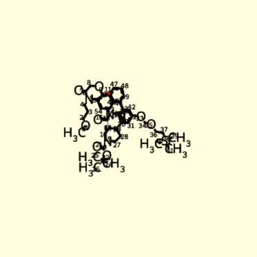 COCCCN1C(=O)COc2ccc(N(C(=O)[C@H]3CN(C(=O)OC(C)(C)C)CC[C@@H]3c3cc(OCOCC[Si](C)(C)C)cc(-c4ccccc4)c3)C3CC3)cc21